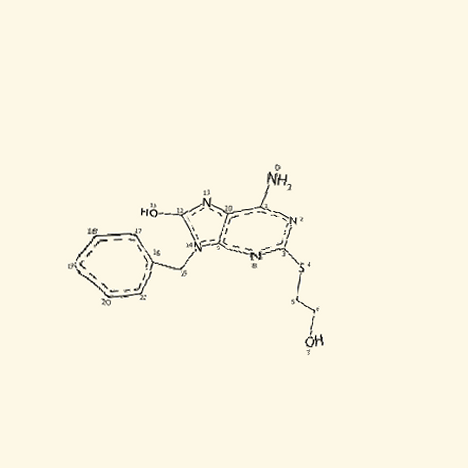 Nc1nc(SCCO)nc2c1nc(O)n2Cc1ccccc1